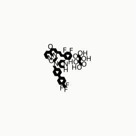 O=C(Cn1c(CCc2cccc(F)c2F)cc(=O)c2cccnc21)N(Cc1ccc(-c2ccc(C(F)(F)F)cc2)cc1)C1CCNCC1.O=C(O)C(O)C(O)C(=O)O